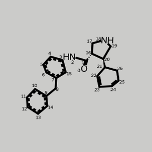 O=C(Nc1cccc(Cc2ccccc2)c1)[C@@H]1CNC[C@H]1C1C=CC=CC1